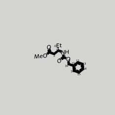 CC[C@@H](CC(=O)OC)NC(=O)OCc1ccccc1